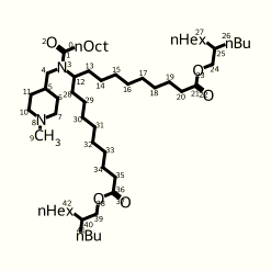 CCCCCCCCC(=O)N(CC1CCN(C)CC1)C(CCCCCCCCC(=O)OCC(CCCC)CCCCCC)CCCCCCCCC(=O)OCC(CCCC)CCCCCC